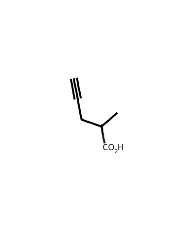 C#CC[C](C)C(=O)O